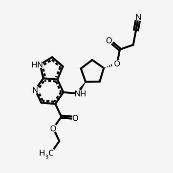 CCOC(=O)c1cnc2[nH]ccc2c1N[C@H]1CC[C@H](OC(=O)CC#N)C1